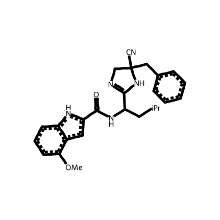 COc1cccc2[nH]c(C(=O)NC(CC(C)C)C3=NCC(C#N)(Cc4ccccc4)N3)cc12